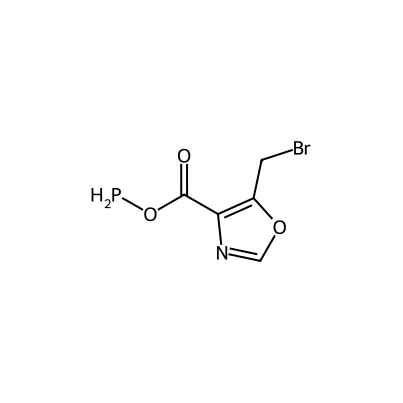 O=C(OP)c1ncoc1CBr